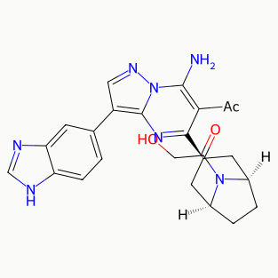 CC(=O)c1c([C@H]2C[C@H]3CC[C@@H](C2)N3C(=O)CO)nc2c(-c3ccc4[nH]cnc4c3)cnn2c1N